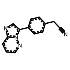 N#CCc1ccc(-c2cnc3cccnn23)cc1